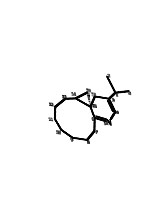 CC(C)C1=CN=C2CCCCCCCC3C[C@]23C1